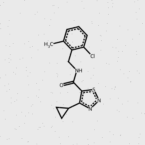 Cc1cccc(Cl)c1CNC(=O)c1snnc1C1CC1